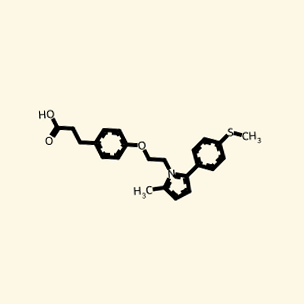 CSc1ccc(-c2ccc(C)n2CCOc2ccc(CCC(=O)O)cc2)cc1